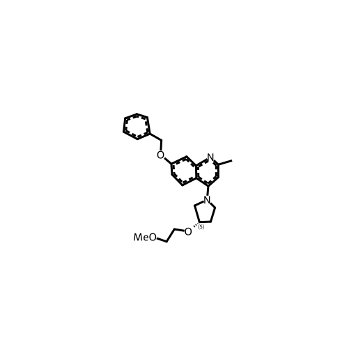 COCCO[C@H]1CCN(c2cc(C)nc3cc(OCc4ccccc4)ccc23)C1